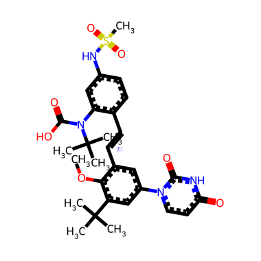 COc1c(/C=C/c2ccc(NS(C)(=O)=O)cc2N(C(=O)O)C(C)(C)C)cc(-n2ccc(=O)[nH]c2=O)cc1C(C)(C)C